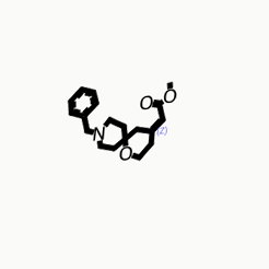 COC(=O)/C=C1/CCOC2(CCN(Cc3ccccc3)CC2)C1